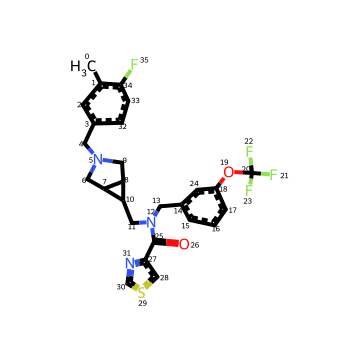 Cc1cc(CN2CC3C(C2)C3CN(Cc2cccc(OC(F)(F)F)c2)C(=O)c2cscn2)ccc1F